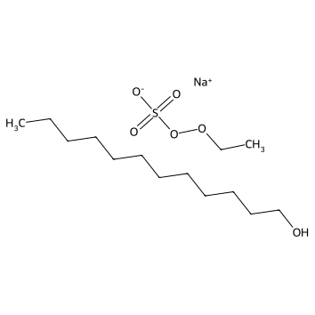 CCCCCCCCCCCCO.CCOOS(=O)(=O)[O-].[Na+]